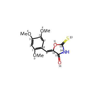 COc1cc(OC)c(OC)cc1C=C1OC(=S)NC1=O